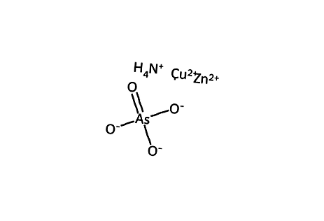 O=[As]([O-])([O-])[O-].[Cu+2].[NH4+].[Zn+2]